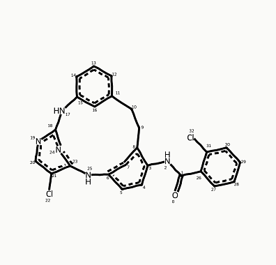 O=C(Nc1ccc2cc1CCc1cccc(c1)Nc1ncc(Cl)c(n1)N2)c1ccccc1Cl